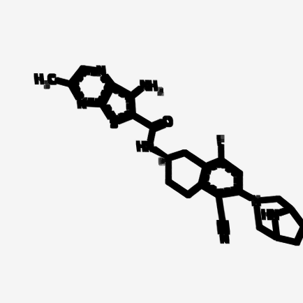 Cc1cnc2c(N)c(C(=O)N[C@@H]3CCc4c(C#N)c(N5CC6CCC(C5)N6)cc(F)c4C3)sc2n1